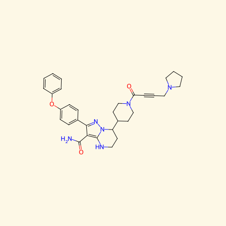 NC(=O)c1c(-c2ccc(Oc3ccccc3)cc2)nn2c1NCCC2C1CCN(C(=O)C#CCN2CCCC2)CC1